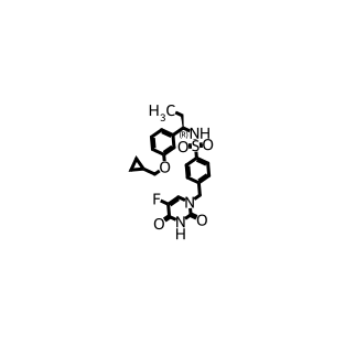 CC[C@@H](NS(=O)(=O)c1ccc(Cn2cc(F)c(=O)[nH]c2=O)cc1)c1cccc(OCC2CC2)c1